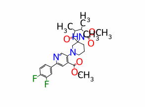 COC(=O)NC1(C(=O)C(C)C(C)C)CCCN(c2cnc(-c3ccc(F)c(F)c3)cc2C(=O)OC)C1